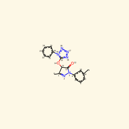 CC1=NN(c2cccc(C)c2)C(=O)C1Oc1nnnn1-c1ccccc1